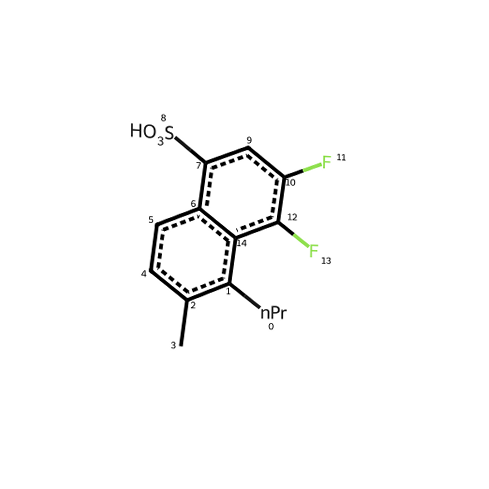 CCCc1c(C)ccc2c(S(=O)(=O)O)cc(F)c(F)c12